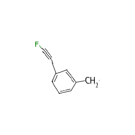 [CH2]c1cccc(C#CF)c1